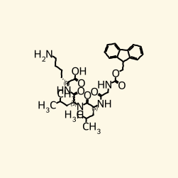 CC(C)C[C@H](NC(=O)CNC(=O)OCC1c2ccccc2-c2ccccc21)C(=O)N[C@@H](CC(C)C)C(=O)N[C@H](CCCCN)C(=O)O